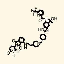 CC(C)(O)c1cc2nc([C@H]3CC[C@H](CN4CCC(CCNc5cccc6c5C(=O)N(C5CCC(=O)NC5=O)C6=O)CC4)CC3)[nH]c2cc1NC(=O)c1cccc(C(F)(F)F)n1